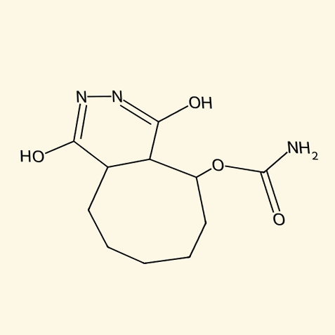 NC(=O)OC1CCCCCC2C(O)=NN=C(O)C12